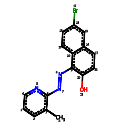 Cc1cccnc1/N=N/c1c(O)ccc2cc(Br)ccc12